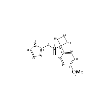 COc1ccc(C2(NCc3cccs3)CCC2)cc1